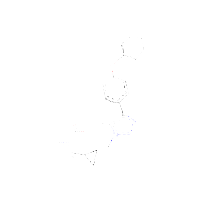 C[C@@H](C1CC1)N(C)C(=O)OCc1c(-c2ccc(OC3CCCCC3)cc2)nnn1C